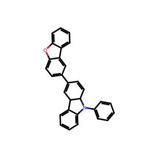 C1=CC2C(C=C1c1ccc3oc4ccccc4c3c1)c1ccccc1N2c1ccccc1